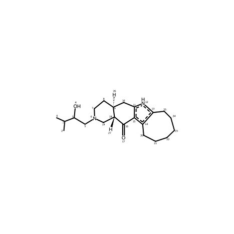 CC(C)C(O)CN1CC[C@H]2Cc3[nH]c4c(c3C(=O)[C@@H]2C1)CCCCCC4